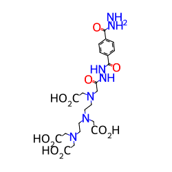 NNC(=O)c1ccc(C(=O)NNC(=O)CN(CCN(CCN(CC(=O)O)CC(=O)O)CC(=O)O)CC(=O)O)cc1